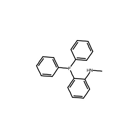 CNc1ccccc1P(c1ccccc1)c1ccccc1